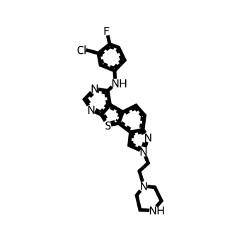 Fc1ccc(Nc2ncnc3sc4c5cn(CCN6CCNCC6)nc5ccc4c23)cc1Cl